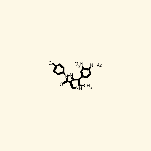 CC(=O)Nc1ccc(-c2c3nn(-c4ccc(Cl)cc4)c(=O)c-3c[nH]c2C)cc1[N+](=O)[O-]